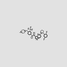 CN1CCN(Cc2ccc(C(=O)Nc3cnn4ccc(N5CCCC5c5cc(F)ccc5F)nc34)cc2C(F)(F)F)CC1